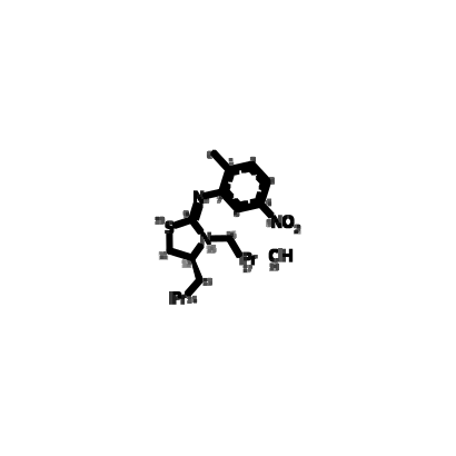 Cc1ccc([N+](=O)[O-])cc1/N=C1/SC[C@H](CC(C)C)N1CC(C)C.Cl